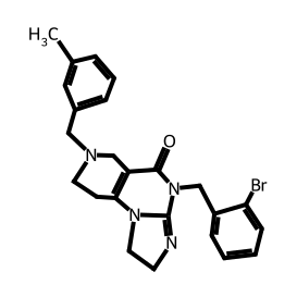 Cc1cccc(CN2CCC3=C(C2)C(=O)N(Cc2ccccc2Br)C2=NCCN23)c1